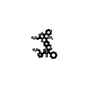 CCC(=O)N[C@@H](C(=O)N1CCOCC1)[C@@H](C)c1ccc(NC(=O)[C@@H](NC(=O)c2ccnn2CC)C2CCCCCC2)c(F)c1